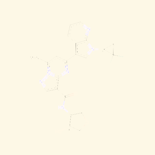 CNc1cc(-c2cn([C@@H]3CC3(F)F)c3ncccc23)nc2c(C(=O)NC3COC[C@@H]3O)cnn12